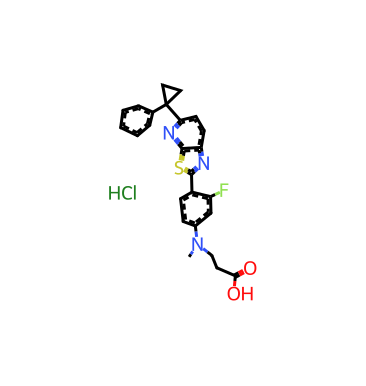 CN(CCC(=O)O)c1ccc(-c2nc3ccc(C4(c5ccccc5)CC4)nc3s2)c(F)c1.Cl